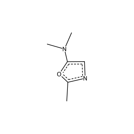 Cc1ncc(N(C)C)o1